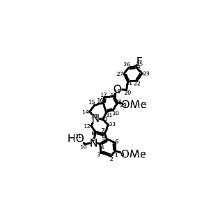 COc1ccc2c(c1)c1c(n2CO)CN2CCc3cc(OCc4ccc(F)cc4)c(OC)cc3C2C1